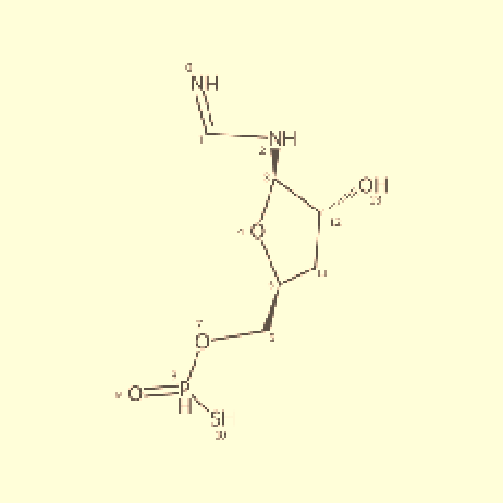 N=CN[C@@H]1O[C@H](CO[PH](=O)S)C[C@H]1O